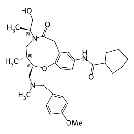 COc1ccc(CN(C)C[C@@H]2Oc3ccc(NC(=O)C4CCCCC4)cc3CC(=O)N([C@@H](C)CO)C[C@H]2C)cc1